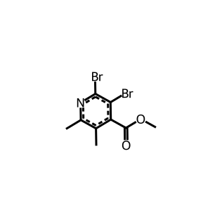 COC(=O)c1c(C)c(C)nc(Br)c1Br